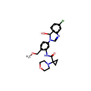 COCc1ccc(N2C=Nc3cc(Br)ccc3C2O)cc1NC(=O)C1(N2CCOCC2)CC1